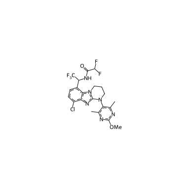 COc1nc(C)c(N2CCCn3c2nc2c(Cl)ccc(C(NC(=O)C(F)F)C(F)(F)F)c23)c(C)n1